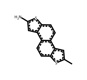 Cc1cc2c(ccc3c4cc(N)sc4ccc23)s1